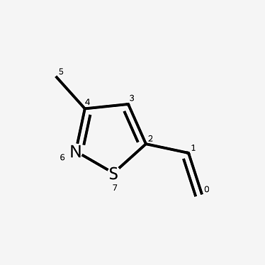 C=Cc1cc(C)ns1